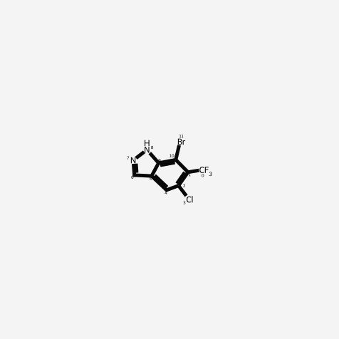 FC(F)(F)c1c(Cl)cc2cn[nH]c2c1Br